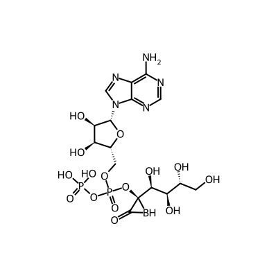 Nc1ncnc2c1ncn2[C@@H]1O[C@H](COP(=O)(O[C@@]2([C@@H](O)[C@H](O)[C@H](O)CO)BC2=O)OP(=O)(O)O)[C@@H](O)[C@H]1O